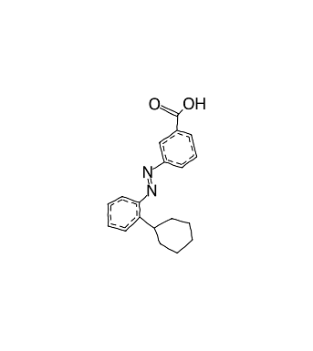 O=C(O)c1cccc(/N=N/c2ccccc2C2CCCCC2)c1